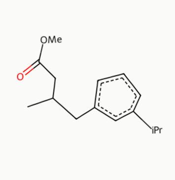 COC(=O)CC(C)Cc1cccc(C(C)C)c1